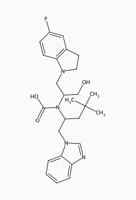 CC(C)(C)CC(Cn1cnc2ccccc21)N(C(=O)O)C(CO)CN1CCc2cc(F)ccc21